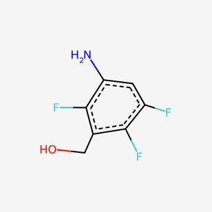 Nc1cc(F)c(F)c(CO)c1F